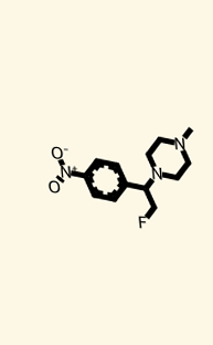 CN1CCN(C(CF)c2ccc([N+](=O)[O-])cc2)CC1